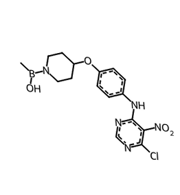 CB(O)N1CCC(Oc2ccc(Nc3ncnc(Cl)c3[N+](=O)[O-])cc2)CC1